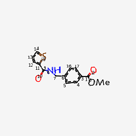 COC(=O)c1ccc(CNC(=O)c2cccs2)cc1